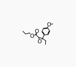 CCCOC(=O)C1OC1(CC)c1ccc(OC)cc1